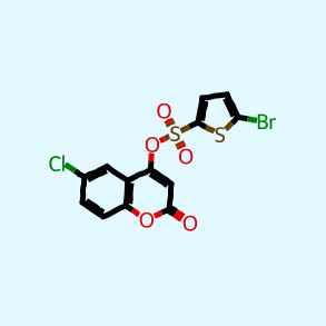 O=c1cc(OS(=O)(=O)c2ccc(Br)s2)c2cc(Cl)ccc2o1